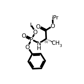 CC(C)OC(=O)[C@H](C)NP(=O)(OI)Oc1ccccc1